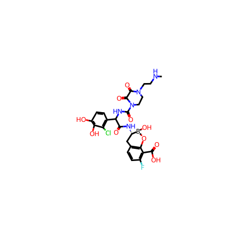 CNCCN1CCN(C(=O)NC(C(=O)N[C@H]2Cc3ccc(F)c(C(=O)O)c3OB2O)c2ccc(O)c(O)c2Cl)C(=O)C1=O